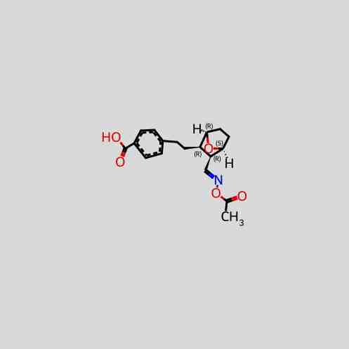 CC(=O)ON=C[C@H]1[C@@H](CCc2ccc(C(=O)O)cc2)[C@H]2CC[C@@H]1O2